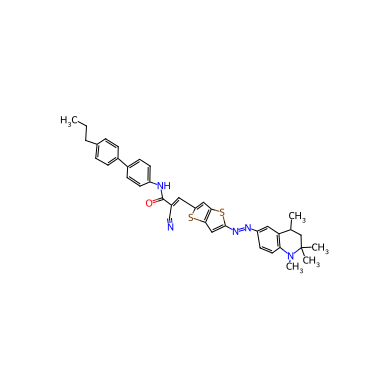 CCCc1ccc(-c2ccc(NC(=O)/C(C#N)=C/c3cc4sc(/N=N/c5ccc6c(c5)C(C)CC(C)(C)N6C)cc4s3)cc2)cc1